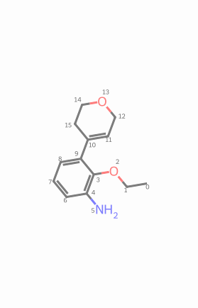 CCOc1c(N)cccc1C1=CCOCC1